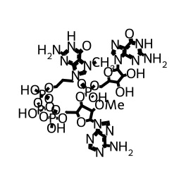 COC1C(OP(=O)(O)OCC2OC(n3cnc4c(=O)[nH]c(N)nc43)C(O)C2O)C(COP(=O)(O)OP(=O)(O)OP(=O)(O)OCCCn2c[n+](C)c3c(=O)[nH]c(N)nc32)OC1n1cnc2c(N)ncnc21